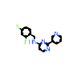 Fc1ccc(CNc2ccnc(-c3cccnc3)n2)c(F)c1